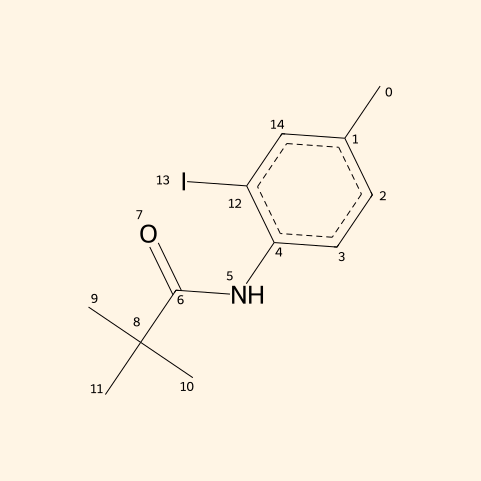 Cc1ccc(NC(=O)C(C)(C)C)c(I)c1